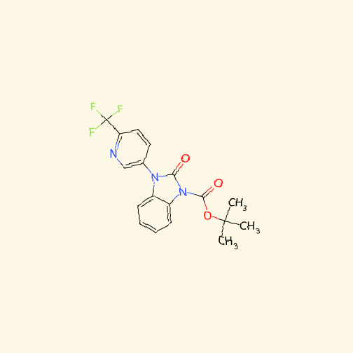 CC(C)(C)OC(=O)n1c(=O)n(-c2ccc(C(F)(F)F)nc2)c2ccccc21